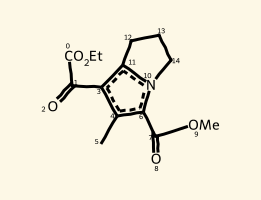 CCOC(=O)C(=O)c1c(C)c(C(=O)OC)n2c1CCC2